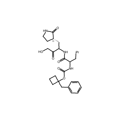 CC(C)CC(NC(=O)OC1(Cc2ccccc2)CCC1)C(=O)NC(C[C@@H]1CCNC1=O)C(=O)CO